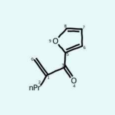 C=C(CCC)C(=O)c1ccco1